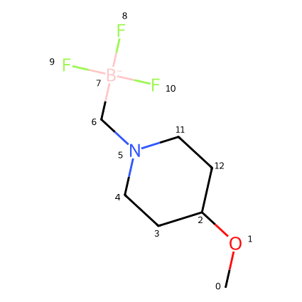 COC1CCN(C[B-](F)(F)F)CC1